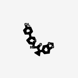 Cc1ccc(-c2ccc(NC(=O)C3(c4ccc5c(c4)OCO5)CC3)nc2)cc1